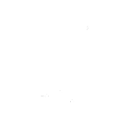 O=S(O)c1ccc(CF)cc1